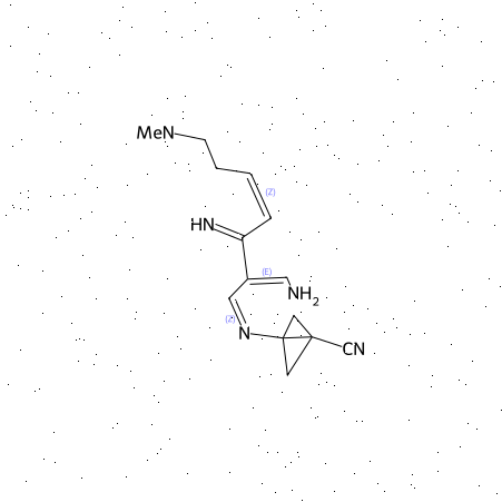 CNCC/C=C\C(=N)C(/C=N\C12CC1(C#N)C2)=C/N